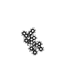 CCC1C(c2c3ccccc3c(-n3c4cc5ccccc5cc4c4c5ccccc5ccc43)c3c2oc2ccccc23)=NC(c2cccc3c2sc2ccccc23)=NC1c1cccc2c1oc1ccccc12